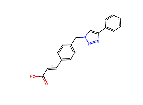 O=C(O)/C=C/c1ccc(Cn2cc(-c3ccccc3)nn2)cc1